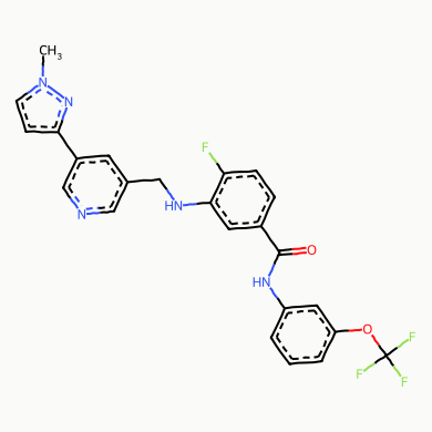 Cn1ccc(-c2cncc(CNc3cc(C(=O)Nc4cccc(OC(F)(F)F)c4)ccc3F)c2)n1